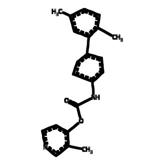 Cc1ccc(C)c(-c2ccc(NC(=O)Oc3ccncc3C)cc2)c1